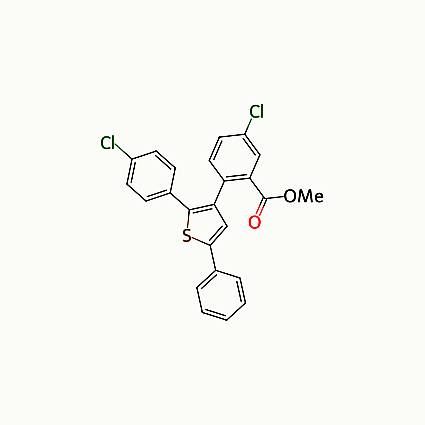 COC(=O)c1cc(Cl)ccc1-c1cc(-c2ccccc2)sc1-c1ccc(Cl)cc1